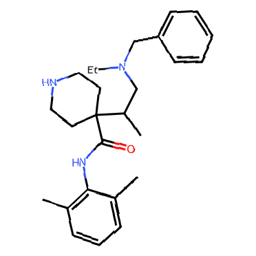 CCN(Cc1ccccc1)CC(C)C1(C(=O)Nc2c(C)cccc2C)CCNCC1